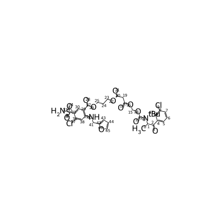 CC(C(=O)c1cccc(Cl)c1)N(C(=O)OCOC(=O)CC(=O)OCCCOC(=O)c1cc(S(N)(=O)=O)c(Cl)cc1NCc1ccco1)C(C)(C)C